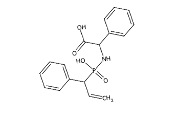 C=CC(c1ccccc1)P(=O)(O)NC(C(=O)O)c1ccccc1